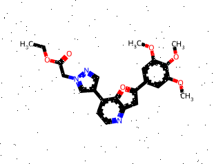 CCOC(=O)Cn1cc(-c2ccnc3cc(-c4cc(OC)c(OC)c(OC)c4)oc23)cn1